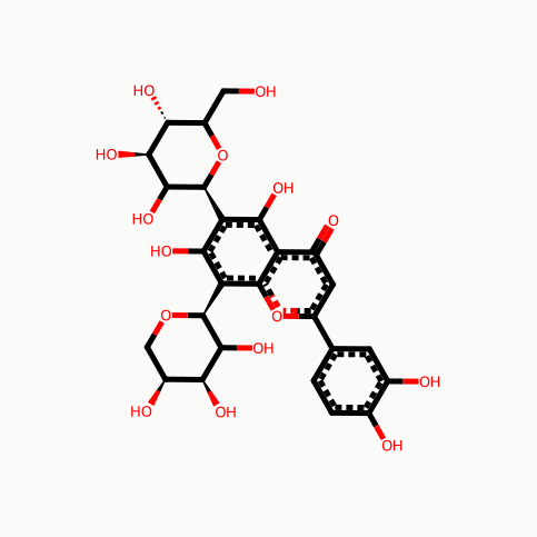 O=c1cc(-c2ccc(O)c(O)c2)oc2c([C@@H]3OC[C@H](O)[C@H](O)C3O)c(O)c([C@@H]3OC(CO)[C@@H](O)[C@H](O)C3O)c(O)c12